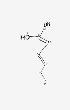 CCC=CC=C(O)O